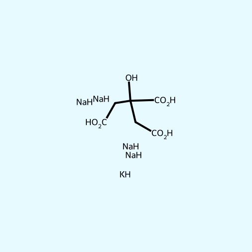 O=C(O)CC(O)(CC(=O)O)C(=O)O.[KH].[NaH].[NaH].[NaH].[NaH]